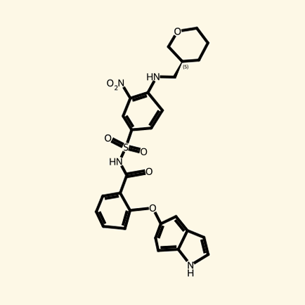 O=C(NS(=O)(=O)c1ccc(NC[C@@H]2CCCOC2)c([N+](=O)[O-])c1)c1ccccc1Oc1ccc2[nH]ccc2c1